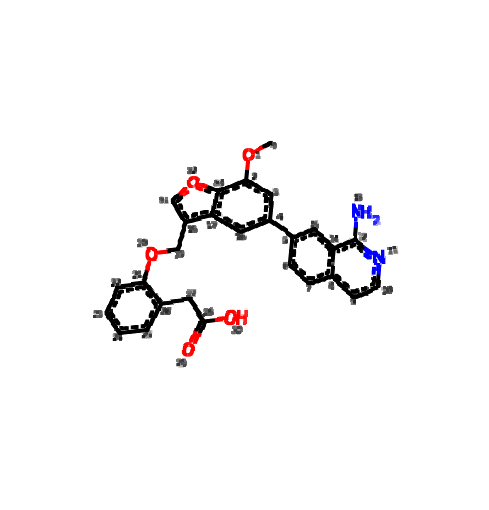 COc1cc(-c2ccc3ccnc(N)c3c2)cc2c(COc3ccccc3CC(=O)O)coc12